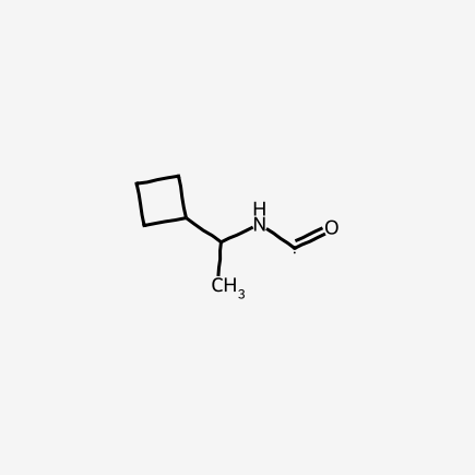 CC(N[C]=O)C1CCC1